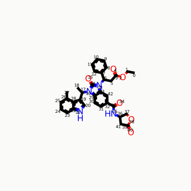 CCOC(=O)CC(c1ccccc1)n1c(=O)n(C(C)c2c[nH]c3cccc(C)c23)c2ccc(C(=O)NC3COC(=O)C3)cc21